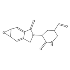 O=CC1CNC(=O)C(N2CC3=CC4OC4C=C3C2=O)C1